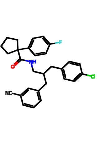 N#Cc1cccc(CC(CNC(=O)C2(c3ccc(F)cc3)CCCC2)Cc2ccc(Cl)cc2)c1